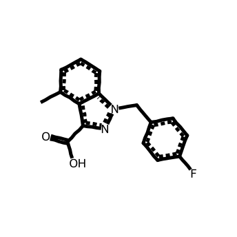 Cc1cccc2c1c(C(=O)O)nn2Cc1ccc(F)cc1